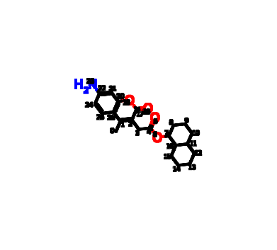 Cc1c(CC(=O)OC2CCCC3CCCCC32)c(=O)oc2cc(N)ccc12